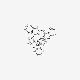 COc1c(F)cccc1NCC[C@@H]1CNCCN1C(=O)c1ncn(CC2(O)CCCCC2)c1-c1ccccc1